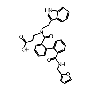 O=C(O)CCN(CCc1c[nH]c2ccccc12)C(=O)c1ccccc1-c1ccccc1C(=O)NCc1ccco1